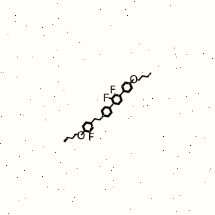 C=CCCOc1ccc(CCc2ccc(-c3ccc(-c4ccc(OCCCC)cc4)c(F)c3F)cc2)cc1F